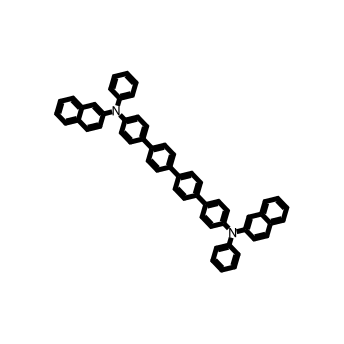 c1ccc(N(c2ccc(-c3ccc(-c4ccc(-c5ccc(N(c6ccccc6)c6ccc7ccccc7c6)cc5)cc4)cc3)cc2)c2ccc3ccccc3c2)cc1